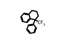 FC(F)(F)C1(c2ccccc2)CCCc2ccccc21